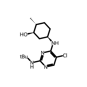 C[C@@H]1CC[C@@H](Nc2nc(NC(C)(C)C)ncc2Cl)C[C@H]1O